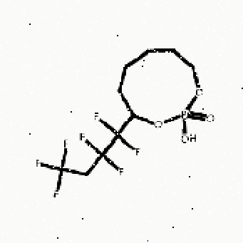 O=P1(O)OCCCCCC(C(F)(F)C(F)(F)CC(F)(F)F)O1